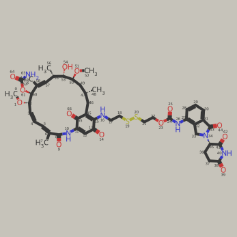 CO[C@H]1/C=C\C=C(/C)C(=O)NC2=CC(=O)C(NCCSSCCOC(=O)Nc3cccc4c3CN([C@H]3CCC(=O)NC3=O)C4=O)=C(C[C@@H](C)C[C@H](OC)[C@@H](O)[C@@H](C)/C=C(\C)[C@@H]1OC(N)=O)C2=O